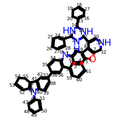 CN(c1ccc2oc3c(c2c1)C(C1NC(C2=CC=CCC2)NC(c2ccccc2)N1)=CNC3)c1ccc(-c2ccc3c(c2)c2c(n3-c3ccccc3)C=CCC2)cc1-c1ccccc1